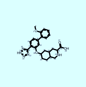 COc1ccccc1-c1ccc(-c2nn[nH]n2)c(OC2CCC3CNC(C(=O)O)CC3C2)c1